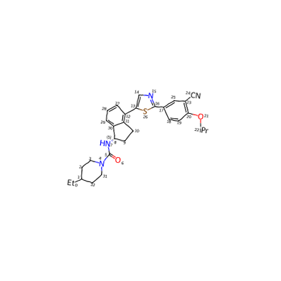 CCC1CCN(C(=O)N[C@H]2CCc3c(-c4cnc(-c5ccc(OC(C)C)c(C#N)c5)s4)cccc32)CC1